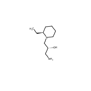 CC[C@H]1CCCCN1C[C@H](O)CN